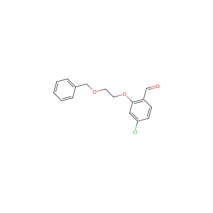 O=Cc1ccc(Cl)cc1OCCOCc1ccccc1